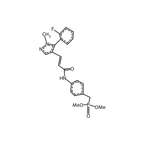 COP(=O)(Cc1ccc(NC(=O)/C=C/c2cnn(C)c2-c2ccccc2F)cc1)OC